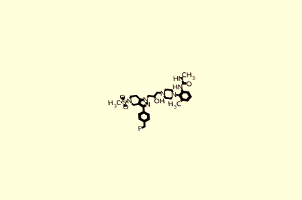 CNC(=O)Nc1cccc(C)c1N1CCN(CC(O)Cn2nc(-c3ccc(CF)cc3)c3c2CCN(S(C)(=O)=O)C3)CC1